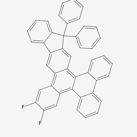 Fc1cc2c3cc4c(cc3c3c5ccccc5c5ccccc5c3c2cc1F)C(c1ccccc1)(c1ccccc1)c1ccccc1-4